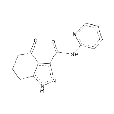 O=C(Nc1ccccn1)c1n[nH]c2c1C(=O)CCC2